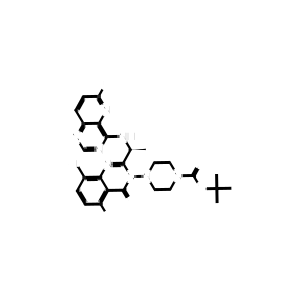 C[C@H](Nc1ncnc2ccc(Cl)nc12)c1nc2c(Cl)ccc(Cl)c2c(=O)n1N1CCN(C(=O)OC(C)(C)C)CC1